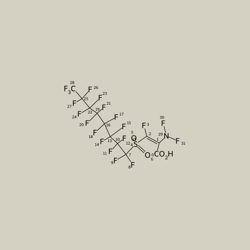 O=C(O)C(=C(F)S(=O)(=O)C(F)(F)C(F)(F)C(F)(F)C(F)(F)C(F)(F)C(F)(F)C(F)(F)C(F)(F)F)N(F)F